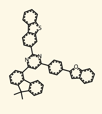 CC1(C)c2ccccc2-c2c(-c3cc(-c4ccc(-c5cc6ccccc6o5)cc4)nc(-c4ccc5c(c4)sc4ccccc45)n3)cccc21